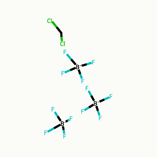 ClCCl.F[B-](F)(F)F.F[B-](F)(F)F.F[B-](F)(F)F